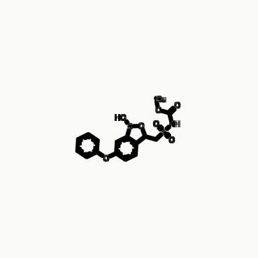 CC(C)(C)OC(=O)NS(=O)(=O)CC1OB(O)c2cc(Oc3ccccc3)ccc21